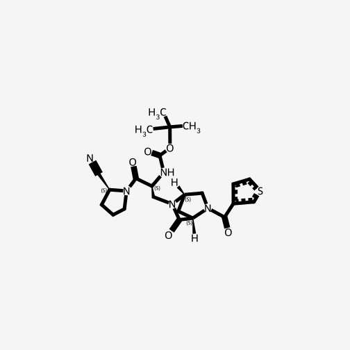 CC(C)(C)OC(=O)N[C@@H](CN1C(=O)[C@@H]2C[C@H]1CN2C(=O)c1ccsc1)C(=O)N1CCC[C@H]1C#N